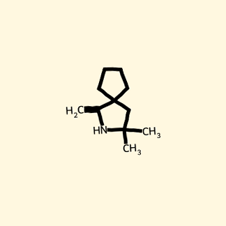 C=C1NC(C)(C)CC12CCCC2